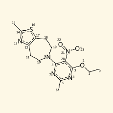 CCOc1nc(C)nc(N2CCc3nc(C)sc3CC2)c1[N+](=O)[O-]